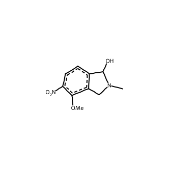 COc1c([N+](=O)[O-])ccc2c1CN(C)C2O